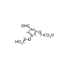 O=Cc1cc(OCC(=O)O)cc(OCC(=O)O)c1